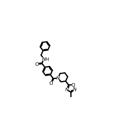 Cc1noc(C2CCCN(C(=O)c3ccc(C(=O)NCc4ccccc4)cc3)C2)n1